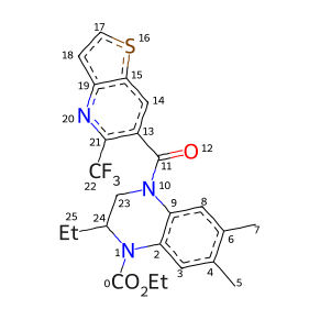 CCOC(=O)N1c2cc(C)c(C)cc2N(C(=O)c2cc3sccc3nc2C(F)(F)F)CC1CC